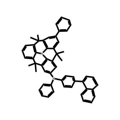 CC1(C)c2cccc3c2N2c4c1cc(-c1ccccc1)cc4C(C)(C)c1cc(N(c4ccccc4)c4ccc(-c5cccc6ccccc56)cc4)cc(c12)C3(C)C